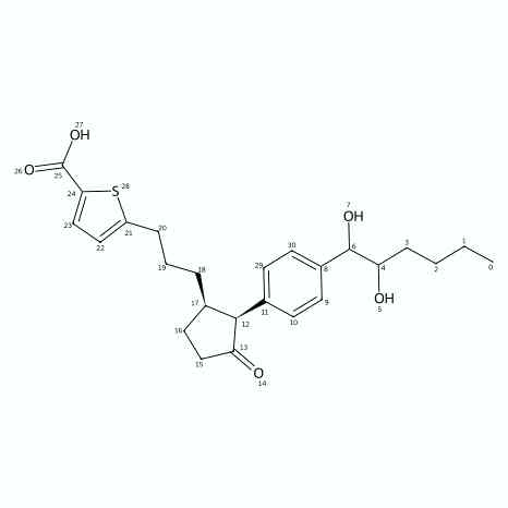 CCCCC(O)C(O)c1ccc([C@H]2C(=O)CC[C@H]2CCCc2ccc(C(=O)O)s2)cc1